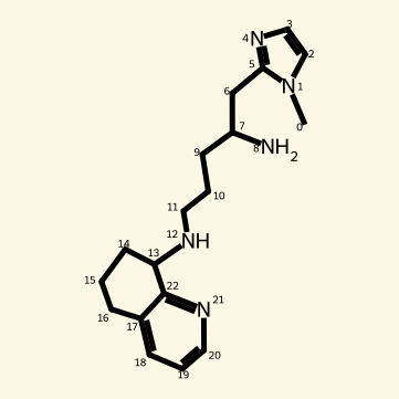 Cn1ccnc1CC(N)CCCNC1CCCc2cccnc21